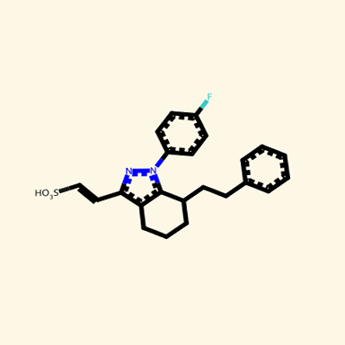 O=S(=O)(O)/C=C/c1nn(-c2ccc(F)cc2)c2c1CCCC2CCc1ccccc1